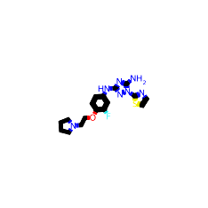 Nc1nc(Nc2ccc(OCCN3CCCC3)c(F)c2)nn1-c1nccs1